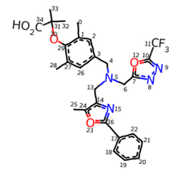 Cc1cc(CN(Cc2nnc(C(F)(F)F)o2)Cc2nc(-c3ccccc3)oc2C)cc(C)c1OC(C)(C)C(=O)O